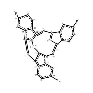 Fc1ccc2c(c1)C1=NC/2=N\c2c3cc(F)ccc3c3n2Bn2c(c4cc(F)ccc4/c2=N/1)=N3